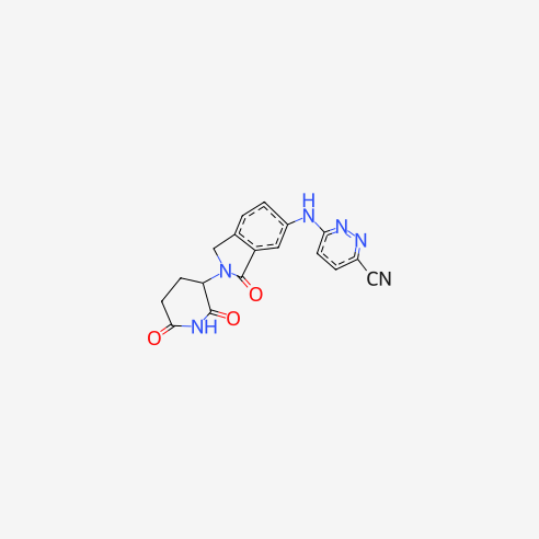 N#Cc1ccc(Nc2ccc3c(c2)C(=O)N(C2CCC(=O)NC2=O)C3)nn1